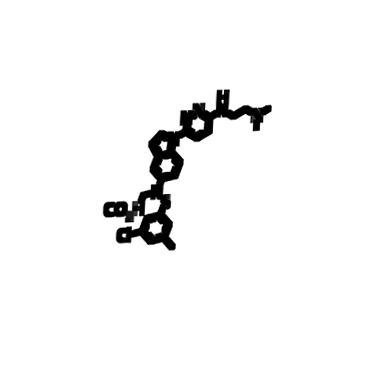 Cc1cc(Cl)cc(SN(CC(=O)O)c2ccc3c(ccn3-c3ccc(NCCN(C)C)nn3)c2)c1